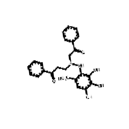 O=C(CCN(CC(=O)c1ccccc1)Nc1c(C(=O)O)cc(O)c(O)c1O)c1ccccc1